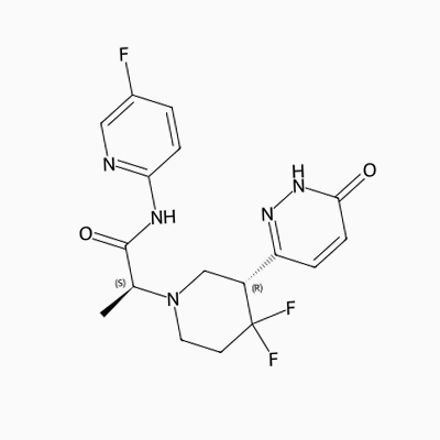 C[C@@H](C(=O)Nc1ccc(F)cn1)N1CCC(F)(F)[C@@H](c2ccc(=O)[nH]n2)C1